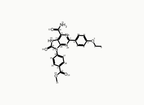 CCOc1ccc(-c2nc(C(N)=O)c3[nH]c(=O)n(-c4ccc(C(=O)OC)cc4)c3n2)cc1